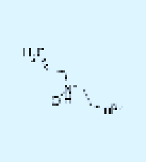 C=CC[NH+]([O-])CCCCC